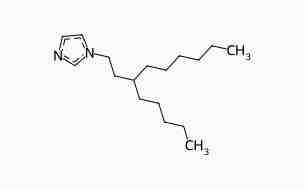 CCCCCCC(CCCCC)CCn1ccnc1